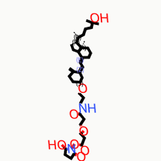 C=C1CC[C@H](OCCCNC(=O)CCOCCC(=O)ON2C(=O)CCC2O)C/C1=C/C=C1\CCC[C@@]2(C)C1CC[C@@H]2[C@H](C)CCCC(C)(C)O